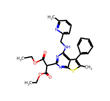 CCOC(=O)C(C(=O)OCC)c1nc(NCc2cccc(C)n2)c2c(-c3ccccc3)c(C)sc2n1